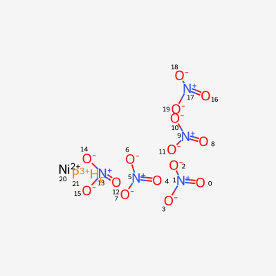 O=[N+]([O-])[O-].O=[N+]([O-])[O-].O=[N+]([O-])[O-].O=[N+]([O-])[O-].O=[N+]([O-])[O-].[Ni+2].[PH6+3]